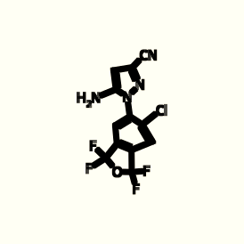 N#Cc1cc(N)n(-c2cc3c(cc2Cl)C(F)(F)OC3(F)F)n1